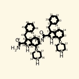 NC(=O)c1[nH]c2c(N3CCNCC3)cccc2c1Cc1ccccc1.NC(=O)c1[nH]c2c(N3CCNCC3)cccc2c1Cc1ccccc1